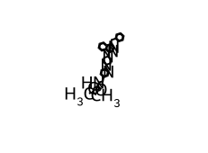 CC(C)OC(=O)NCc1ccc(N2CCN(c3nnc(Cc4ccccc4)c4ccccc34)CC2)nc1